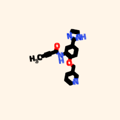 CC#CC(=O)Nc1cc(-c2ncc[nH]2)ccc1OCc1cccnc1